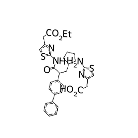 CCOC(=O)Cc1csc(NC(=O)C(CC2CCCC2)c2ccc(-c3ccccc3)cc2)n1.Nc1nc(CC(=O)O)cs1